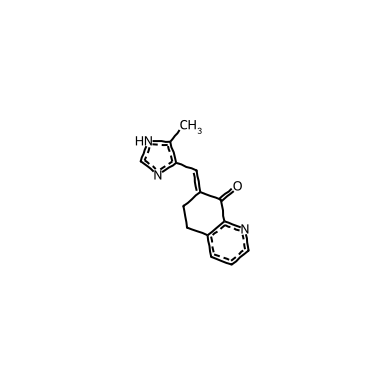 Cc1[nH]cnc1/C=C1\CCc2cccnc2C1=O